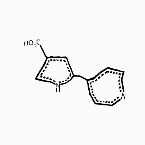 O=C(O)c1c[nH]c(-c2ccncc2)c1